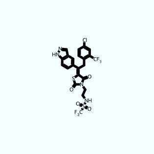 O=C1S/C(=C(/Cc2ccc(Cl)cc2C(F)(F)F)c2ccc3[nH]ncc3c2)C(=O)N1CCNS(=O)(=O)C(F)(F)F